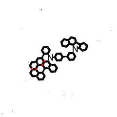 c1cc(-c2ccc(N(c3ccccc3-c3ccc4ccccc4c3)c3ccc(-c4cccc5ccccc45)c4ccccc34)cc2)cc(-n2c3ccccc3c3ccc4ccccc4c32)c1